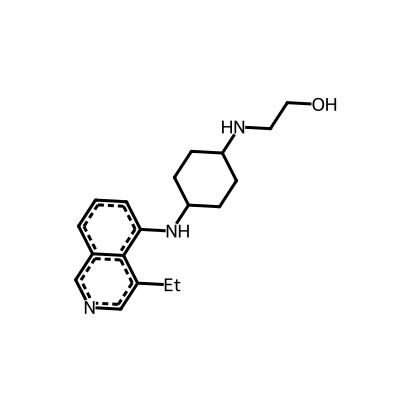 CCc1cncc2cccc(NC3CCC(NCCO)CC3)c12